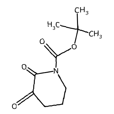 CC(C)(C)OC(=O)N1CCCC(=O)C1=O